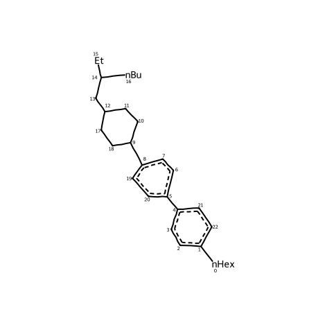 CCCCCCc1ccc(-c2ccc(C3CCC(CC(CC)CCCC)CC3)cc2)cc1